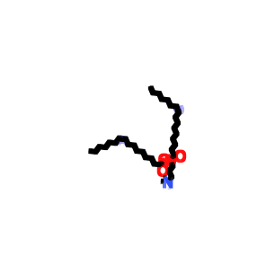 CCCCCC/C=C\CCCCCCCC(=O)OCC(CN(C)C)OC(=O)CCCCCCC/C=C\CCCCCC